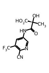 C[C@](O)(C(=O)O)C(=O)Nc1cnc(C#N)c(C(F)(F)F)c1